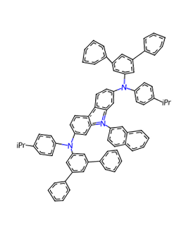 CC(C)c1ccc(N(c2cc(-c3ccccc3)cc(-c3ccccc3)c2)c2ccc3c4ccc(N(c5ccc(C(C)C)cc5)c5cc(-c6ccccc6)cc(-c6ccccc6)c5)cc4n(-c4ccc5ccccc5c4)c3c2)cc1